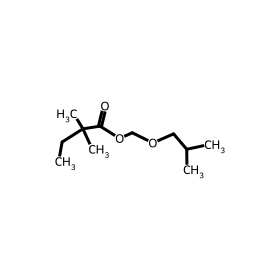 CCC(C)(C)C(=O)OCOCC(C)C